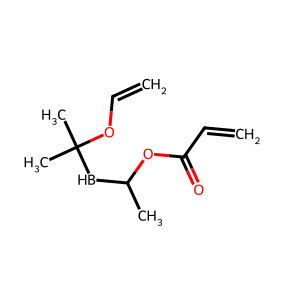 C=COC(C)(C)BC(C)OC(=O)C=C